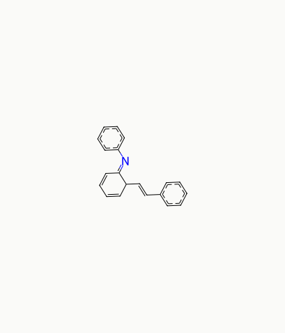 C1=CC(=Nc2ccccc2)C(C=Cc2ccccc2)C=C1